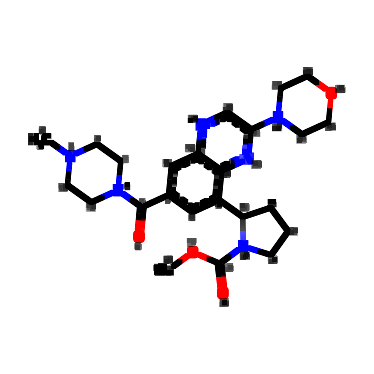 CN1CCN(C(=O)c2cc(C3CCCN3C(=O)OC(C)(C)C)c3nc(N4CCOCC4)cnc3c2)CC1